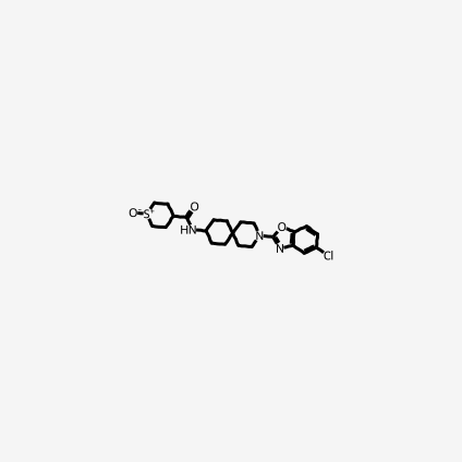 O=C(NC1CCC2(CC1)CCN(c1nc3cc(Cl)ccc3o1)CC2)C1CC[S+]([O-])CC1